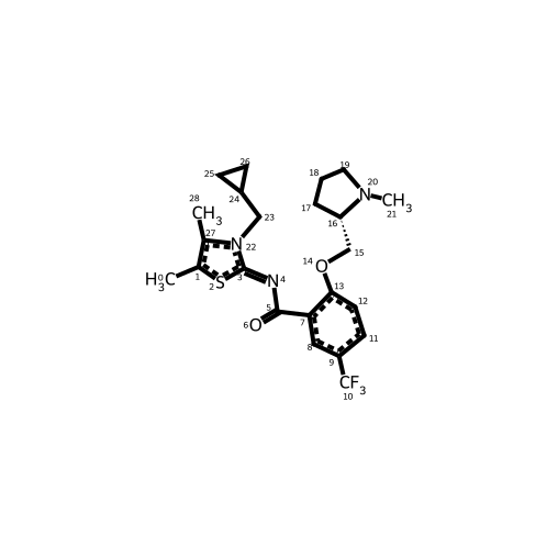 Cc1s/c(=N\C(=O)c2cc(C(F)(F)F)ccc2OC[C@@H]2CCCN2C)n(CC2CC2)c1C